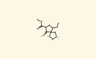 CCC1CC(C(=O)OC)C(=O)C12CCCC2